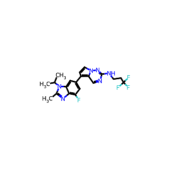 Cc1nc2c(F)cc(-c3ccn4nc(NCCC(F)(F)F)ncc34)cc2n1C(C)C